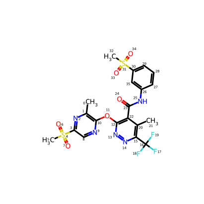 Cc1nc(S(C)(=O)=O)cnc1Oc1nnc(C(F)(F)F)c(C)c1C(=O)Nc1cccc(S(C)(=O)=O)c1